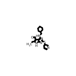 CCc1[nH]c2nc(Sc3cccnc3)nc(NCC3CCCCC3)c2c1C=O